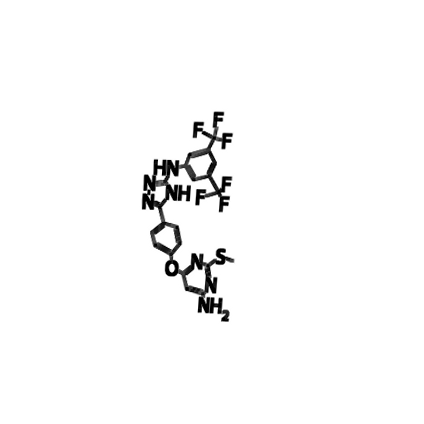 CSc1nc(N)cc(Oc2ccc(-c3nnc(Nc4cc(C(F)(F)F)cc(C(F)(F)F)c4)[nH]3)cc2)n1